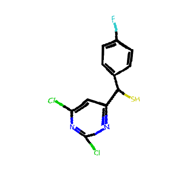 Fc1ccc(C(S)c2cc(Cl)nc(Cl)n2)cc1